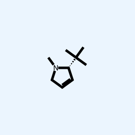 CN1CC=C[C@H]1C(C)(C)C